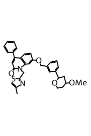 COC1CCOC(c2cccc(COc3ccc4c(-c5ccccc5)cc(=O)n(Cc5nc(C)cs5)c4c3)c2)C1